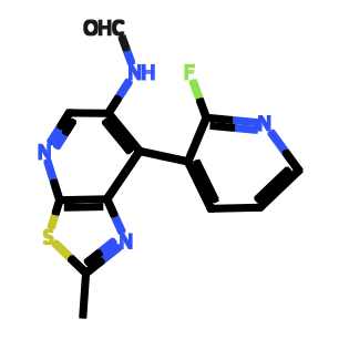 Cc1nc2c(-c3cccnc3F)c(NC=O)cnc2s1